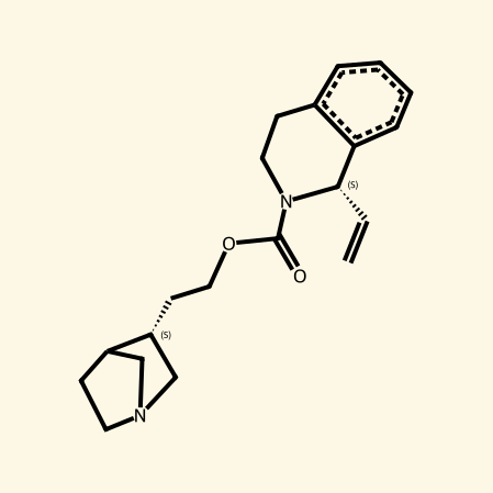 C=C[C@H]1c2ccccc2CCN1C(=O)OCC[C@@H]1CN2CCC1C2